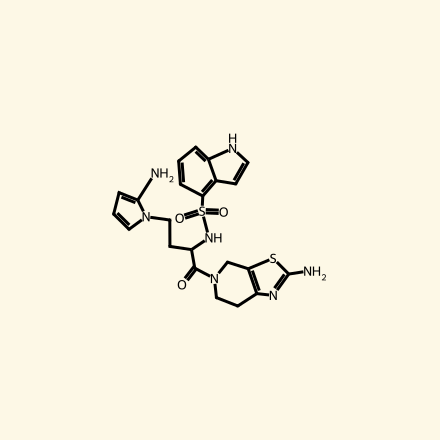 Nc1nc2c(s1)CN(C(=O)C(CCn1cccc1N)NS(=O)(=O)c1cccc3[nH]ccc13)CC2